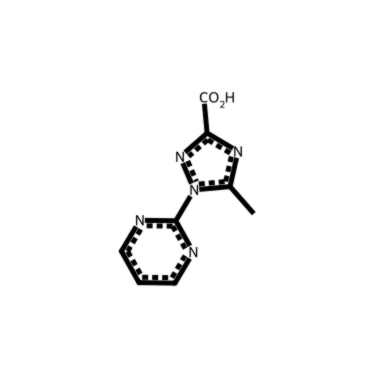 Cc1nc(C(=O)O)nn1-c1ncccn1